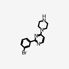 Brc1cccc(-c2nccc(N3CCNCC3)n2)c1